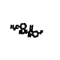 Cc1cccc2c1ncn2-c1nc2ccc(F)cc2[nH]1